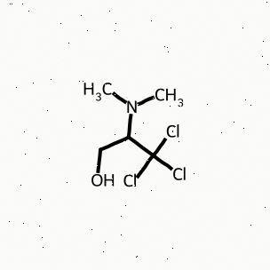 CN(C)C(CO)C(Cl)(Cl)Cl